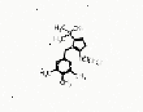 Cc1cc(CC2=[C]([Ti+3])CC=C2[Si](C)(C)C)cc(C)c1C.[Cl-].[Cl-].[Cl-]